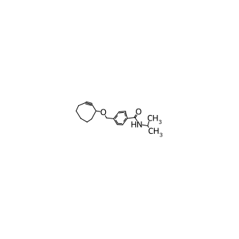 CC(C)NC(=O)c1ccc(COC2C#CCCCCC2)cc1